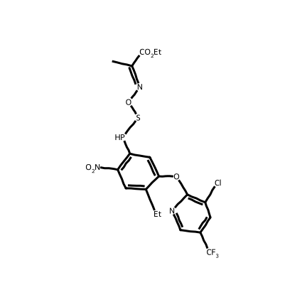 CCOC(=O)C(C)=NOSPc1cc(Oc2ncc(C(F)(F)F)cc2Cl)c(CC)cc1[N+](=O)[O-]